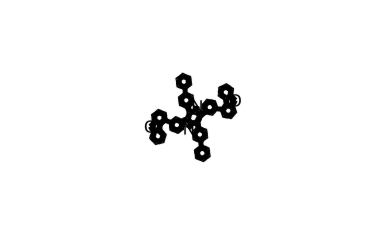 c1ccc(-c2ccc3c4c5c6cc(-c7cccc8oc9ccccc9c78)ccc6n6c7cc(-c8ccccc8)ccc7c(c7c8cc(-c9cccc%10oc%11ccccc%11c9%10)ccc8n(c3c2)c74)c56)cc1